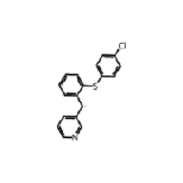 Clc1ccc(Sc2ccccc2[CH]c2cccnc2)cc1